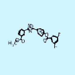 COC(=O)c1cccc(-c2noc(C34CCC(OC(=O)c5cc(F)cc(F)c5)(CC3)CC4)n2)c1